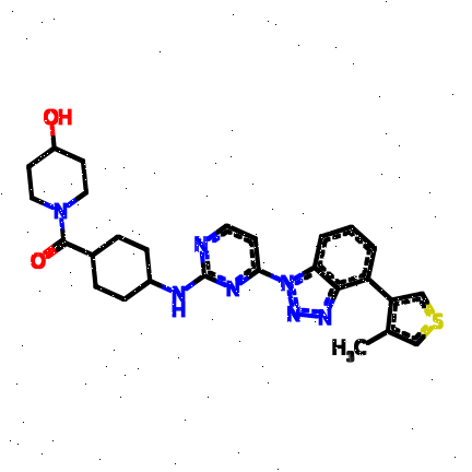 Cc1cscc1-c1cccc2c1nnn2-c1ccnc(NC2CCC(C(=O)N3CCC(O)CC3)CC2)n1